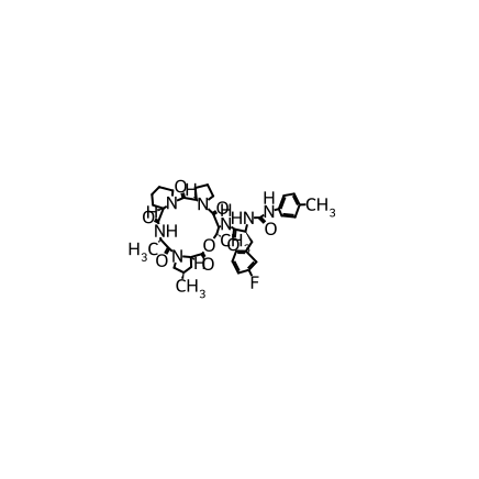 Cc1ccc(NC(=O)N[C@@H](Cc2cccc(F)c2)C(=O)N[C@@H]2C(=O)N3CCC[C@H]3C(=O)N3CCCC[C@H]3C(=O)N[C@@H](C)C(=O)N3C[C@H](C)C[C@H]3C(=O)O[C@H]2C)cc1